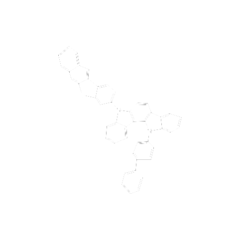 c1ccc(-c2ccc(-n3c4ccccc4c4ccc5c(c6ccccc6n5-c5ccc6c(c5)oc5cc7ccccc7cc56)c43)cc2)cc1